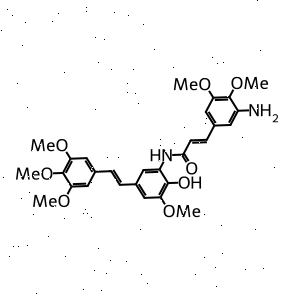 COc1cc(C=Cc2cc(OC)c(OC)c(OC)c2)cc(NC(=O)/C=C/c2cc(N)c(OC)c(OC)c2)c1O